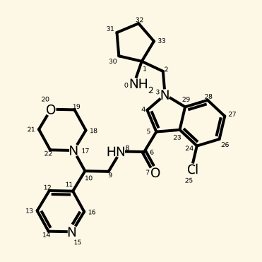 NC1(Cn2cc(C(=O)NCC(c3cccnc3)N3CCOCC3)c3c(Cl)cccc32)CCCC1